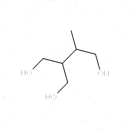 C[C](CO)C(CO)CO